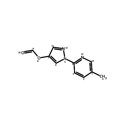 Cc1ccc(-n2cc(OC=O)cn2)nc1